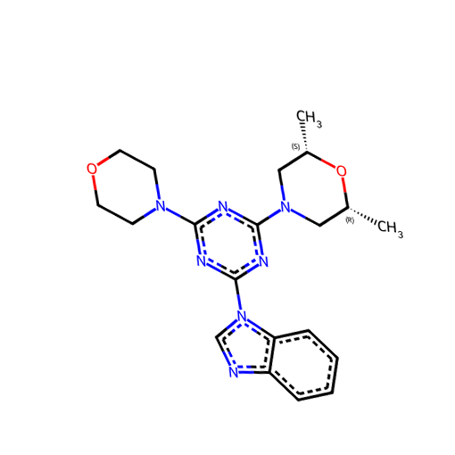 C[C@@H]1CN(c2nc(N3CCOCC3)nc(-n3cnc4ccccc43)n2)C[C@H](C)O1